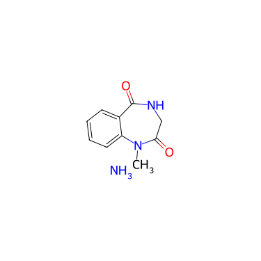 CN1C(=O)CNC(=O)c2ccccc21.N